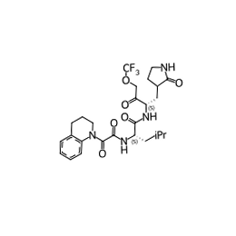 CC(C)C[C@H](NC(=O)C(=O)N1CCCc2ccccc21)C(=O)N[C@@H](CC1CCNC1=O)C(=O)COC(F)(F)F